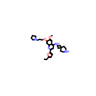 CCc1ccc(-c2cc(NC3CC4(CCNCC4)C3)c3cc(OC)c(OCCCN4CCCC4)cc3n2)o1